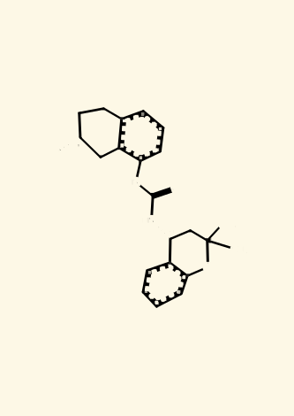 CC1(C)C[C@@H](NC(=O)Nc2cccc3c2C[C@H](O)CC3)c2ccccc2O1